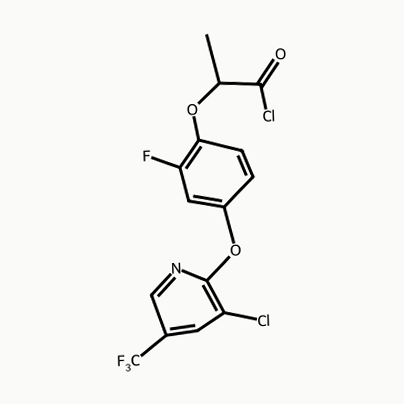 CC(Oc1ccc(Oc2ncc(C(F)(F)F)cc2Cl)cc1F)C(=O)Cl